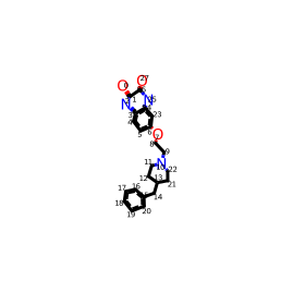 O=C1N=c2ccc(OCCN3CCC(Cc4ccccc4)CC3)cc2=NC1=O